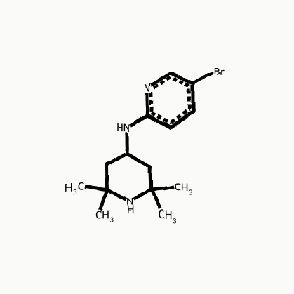 CC1(C)CC(Nc2ccc(Br)cn2)CC(C)(C)N1